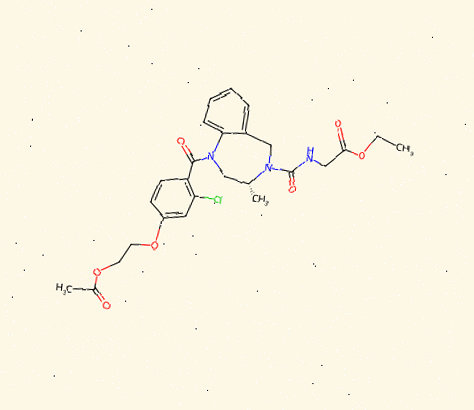 CCOC(=O)CNC(=O)N1Cc2ccccc2N(C(=O)c2ccc(OCCOC(C)=O)cc2Cl)C[C@H]1C